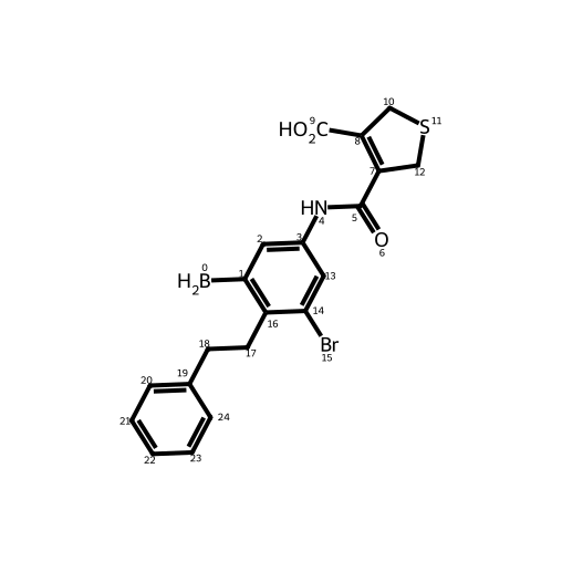 Bc1cc(NC(=O)C2=C(C(=O)O)CSC2)cc(Br)c1CCc1ccccc1